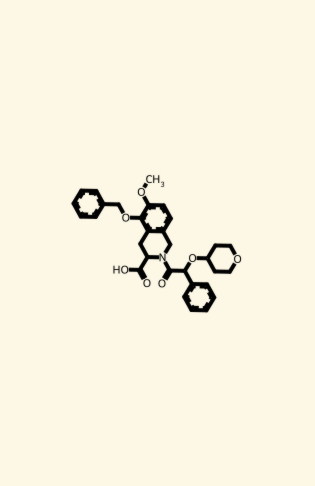 COc1ccc2c(c1OCc1ccccc1)CC(C(=O)O)N(C(=O)C(OC1CCOCC1)c1ccccc1)C2